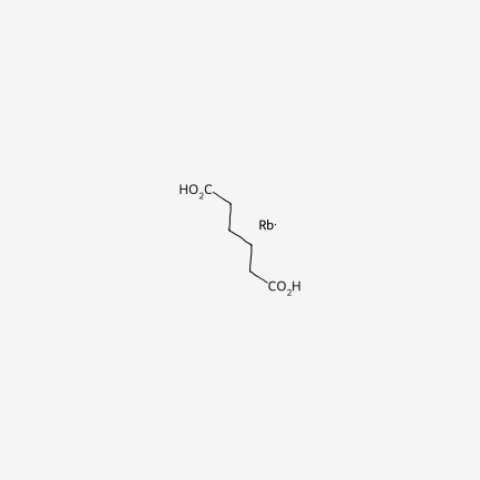 O=C(O)CCCCC(=O)O.[Rb]